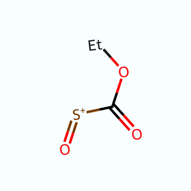 CCOC(=O)[S+]=O